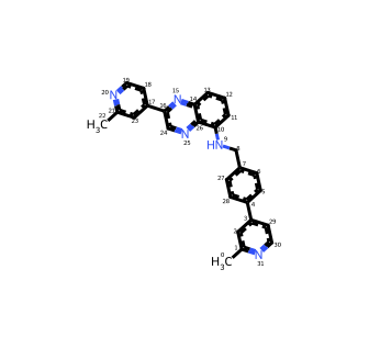 Cc1cc(-c2ccc(CNc3cccc4nc(-c5ccnc(C)c5)cnc34)cc2)ccn1